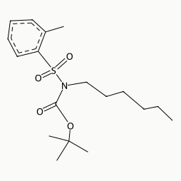 CCCCCCN(C(=O)OC(C)(C)C)S(=O)(=O)c1ccccc1C